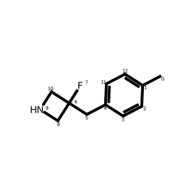 Cc1ccc(CC2(F)CNC2)cc1